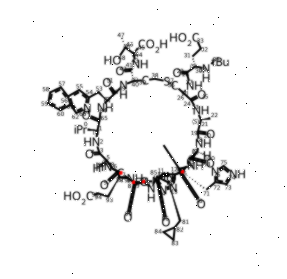 CC(C)[C@@H]1NC(=O)[C@@H]2CCCCn3cc(nn3)CC[C@H](NC(=O)[C@H](C)NC(=O)[C@@H](NC(=O)[C@H](CCC(=O)O)NC(C)(C)C)CSCC[C@@H](C(=O)N[C@H](C(=O)O)[C@@H](C)O)NC(=O)[C@H](Cc3cc4ccccc4cn3)NC1=O)C(=O)N[C@@H](Cc1c[nH]cn1)C(=O)N[C@@H](CC1CC1)C(=O)NCC(=O)N[C@@H](CCC(=O)O)C(=O)N2